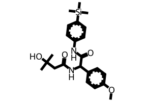 COc1ccc(C(NC(=O)CC(C)(C)O)C(=O)Nc2ccc([Si](C)(C)C)cc2)cc1